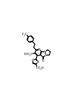 CCOC(=O)c1c(CCc2ccc(C(F)(F)F)cc2)nc2c(c1-c1nc(C(=O)O)co1)c(=O)n1n2CCC1